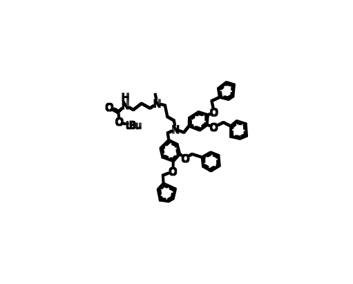 CN(CCCNC(=O)OC(C)(C)C)CCCN(Cc1ccc(OCc2ccccc2)c(OCc2ccccc2)c1)Cc1ccc(OCc2ccccc2)c(OCc2ccccc2)c1